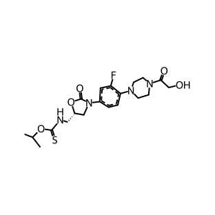 CC(C)OC(=S)NC[C@H]1CN(c2ccc(N3CCN(C(=O)CO)CC3)c(F)c2)C(=O)O1